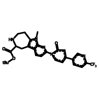 Cn1c2c(c3ccc(-n4ccc(-c5ccc(C(F)(F)F)nc5)cc4=O)nc31)CC(C(=O)OC(C)(C)C)NCC2